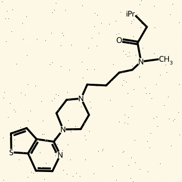 CC(C)CC(=O)N(C)CCCCN1CCN(c2nccc3sccc23)CC1